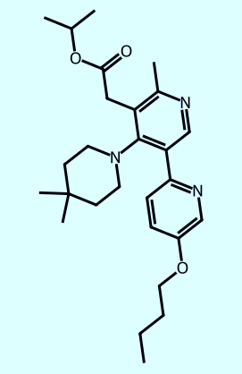 CCCCOc1ccc(-c2cnc(C)c(CC(=O)OC(C)C)c2N2CCC(C)(C)CC2)nc1